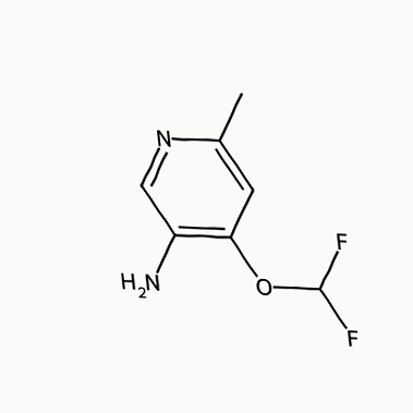 Cc1cc(OC(F)F)c(N)cn1